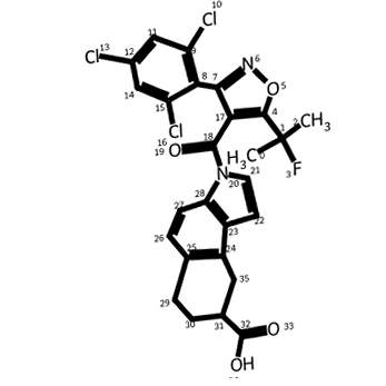 CC(C)(F)c1onc(-c2c(Cl)cc(Cl)cc2Cl)c1C(=O)n1ccc2c3c(ccc21)CCC(C(=O)O)C3